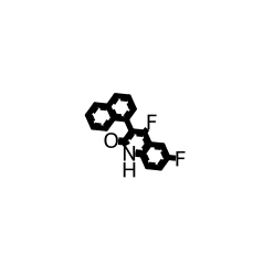 O=c1[nH]c2ccc(F)cc2c(F)c1-c1cccc2ccccc12